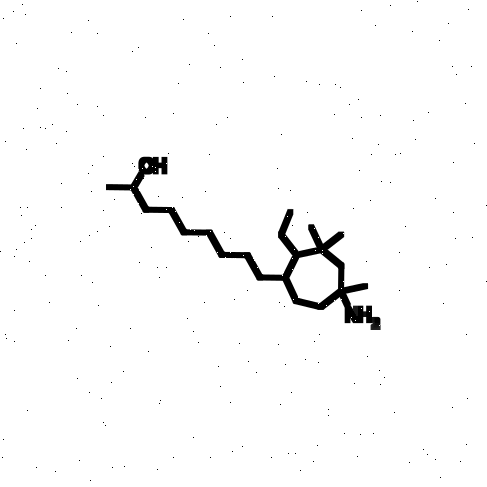 CCC1C(CCCCCCCC(C)O)CCC(C)(N)CC1(C)C